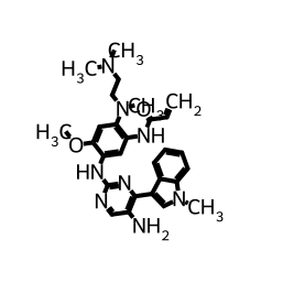 C=CC(=O)Nc1cc(Nc2ncc(N)c(-c3cn(C)c4ccccc34)n2)c(OC)cc1N(C)CCN(C)C